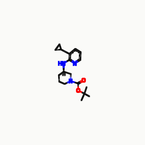 CC(C)(C)OC(=O)N1CCC[C@@H](Nc2ncccc2C2CC2)C1